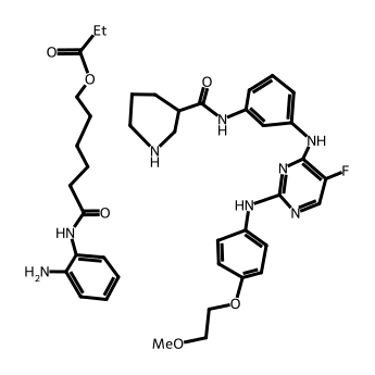 CCC(=O)OCCCCCC(=O)Nc1ccccc1N.COCCOc1ccc(Nc2ncc(F)c(Nc3cccc(NC(=O)C4CCCNC4)c3)n2)cc1